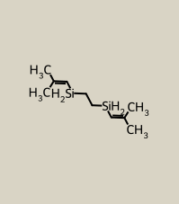 CC(C)=C[SiH2]CC[SiH2]C=C(C)C